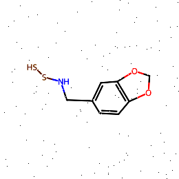 SSNCc1ccc2c(c1)OCO2